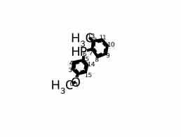 COc1ccc(Pc2ccccc2C)cc1